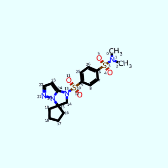 CN(C)S(=O)(=O)c1ccc(S(=O)(=O)N2CC3(CCCC3)n3nccc32)cc1